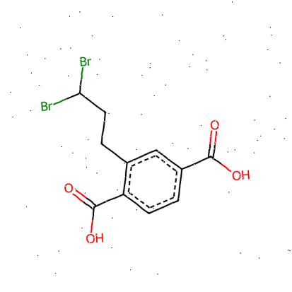 O=C(O)c1ccc(C(=O)O)c(CCC(Br)Br)c1